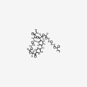 C=CC(=O)OCCOCCOC(C)OC(C)(C)C(=O)c1ccc(Cc2ccc(C(=O)C(C)(C)OC(C)OCCOCCOC(=O)C=C)cc2)cc1